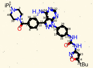 CC(C)N1CCN(C(=O)c2ccc(-c3nn(-c4ccc(NC(=O)Nc5cc(C(C)(C)C)on5)cc4)c4ncnc(N)c34)cc2)CC1